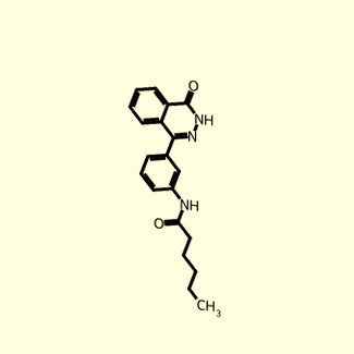 CCCCCC(=O)Nc1cccc(-c2n[nH]c(=O)c3ccccc23)c1